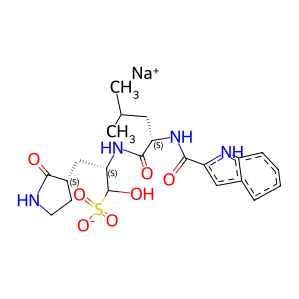 CC(C)C[C@H](NC(=O)c1cc2ccccc2[nH]1)C(=O)N[C@@H](C[C@@H]1CCNC1=O)C(O)S(=O)(=O)[O-].[Na+]